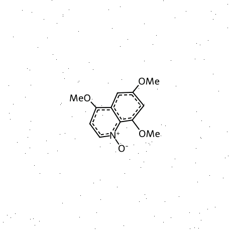 COc1cc(OC)c2c(c1)c(OC)cc[n+]2[O-]